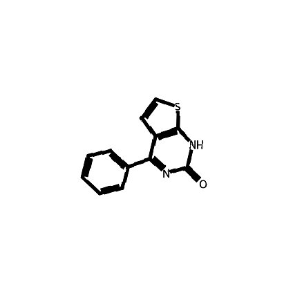 O=c1nc(-c2ccccc2)c2ccsc2[nH]1